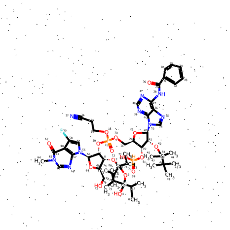 CC(C)[Si](O)(O[Si](O[C@H]1[C@@H](OP(=O)(OCCC#N)OC[C@H]2O[C@@H](n3cnc4c(NC(=O)c5ccccc5)ncnc43)[C@H](O[Si](C)(C)C(C)(C)C)[C@@H]2O[PH](=O)O)[C@H](n2cc(F)c3c(=O)n(C)cnc32)O[C@@H]1CO)(C(C)C)C(C)C)C(C)C